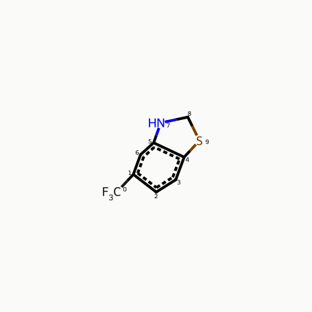 FC(F)(F)c1ccc2c(c1)NCS2